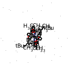 Cc1cc2ncc(/C(C#N)=c3/c4c(-c5cccc(OCC(CCC(C)CC(C)(C)C)C(C)CC(C)(C)C)c5)n(B(c5ccccc5)c5ccccc5)/c(=C(/C#N)c5cnc6cc(C)c(C)cc6n5)c4c(-c4cccc(OCC(CCC(C)CC(C)(C)C)C(C)CC(C)(C)C)c4)n3B(c3ccccc3)c3ccccc3)nc2cc1C